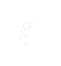 CC(C)N1CCN(CC2CCN(CCC(C)(C)C)CC2)CC1